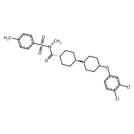 Cc1ccc(S(=O)(=O)N(C)C(=O)[C@H]2CC[C@H](N3CCC(Oc4ccc(Cl)c(Cl)c4)CC3)CC2)cc1